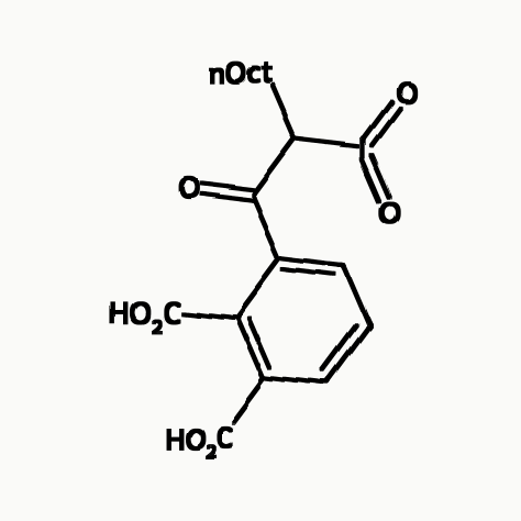 CCCCCCCCC(C(=O)c1cccc(C(=O)O)c1C(=O)O)I(=O)=O